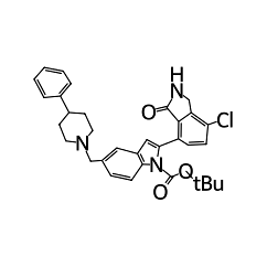 CC(C)(C)OC(=O)n1c(-c2ccc(Cl)c3c2C(=O)NC3)cc2cc(CN3CCC(c4ccccc4)CC3)ccc21